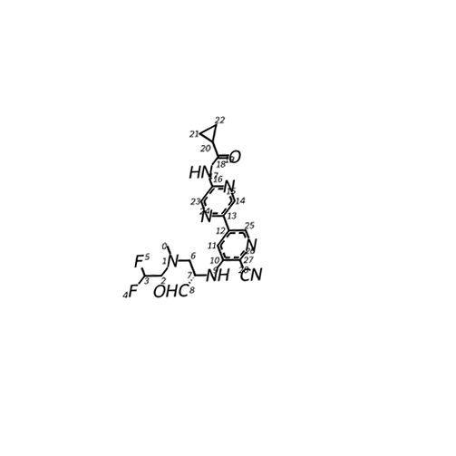 CN(CC(F)F)C[C@@H](C=O)Nc1cc(-c2cnc(NC(=O)C3CC3)cn2)cnc1C#N